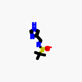 CC(C)(C)[S@+]([O-])N=Cc1c[nH]cn1